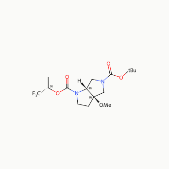 CO[C@@]12CCN(C(=O)O[C@@H](C)C(F)(F)F)[C@@H]1CN(C(=O)OC(C)(C)C)C2